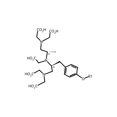 CCOc1ccc(C[C@@H](CN(CC(=O)O)CC(=O)O)N(CC(=O)O)[C@@H](C)CN(CC(=O)O)CC(=O)O)cc1